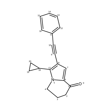 O=C1CCCn2c1cc(C#Cc1ccccc1)c2C1CC1